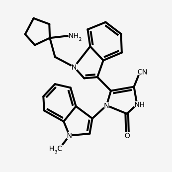 Cn1cc(-n2c(-c3cn(CC4(N)CCCC4)c4ccccc34)c(C#N)[nH]c2=O)c2ccccc21